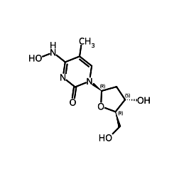 Cc1cn([C@H]2C[C@H](O)[C@@H](CO)O2)c(=O)nc1NO